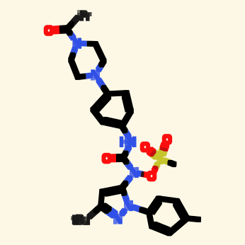 Cc1ccc(-n2nc(C(C)(C)C)cc2N(OS(C)(=O)=O)C(=O)Nc2ccc(N3CCN(C(=O)C(C)C)CC3)cc2)cc1